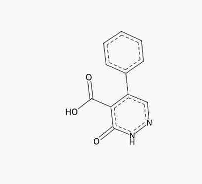 O=C(O)c1c(-c2ccccc2)cn[nH]c1=O